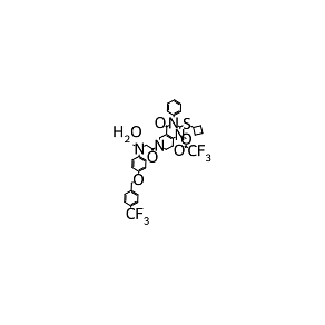 CN(CC(=O)N1CCC2=C(C1)C(=O)N(c1ccccc1)C(SC1CCC1)N2OC(=O)C(F)(F)F)c1ccc(OCc2ccc(C(F)(F)F)cc2)cc1.O